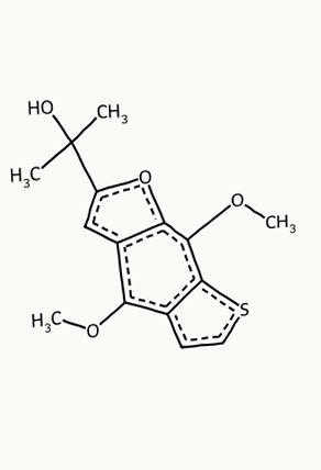 COc1c2cc(C(C)(C)O)oc2c(OC)c2sccc12